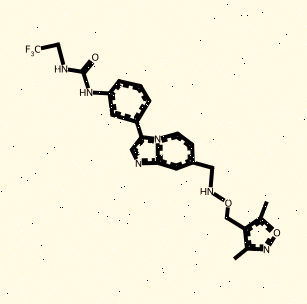 Cc1noc(C)c1CONCc1ccn2c(-c3cccc(NC(=O)NCC(F)(F)F)c3)cnc2c1